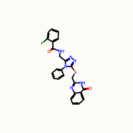 O=C(NCc1nnc(SCc2nc3ccccc3c(=O)[nH]2)n1-c1ccccc1)c1ccccc1F